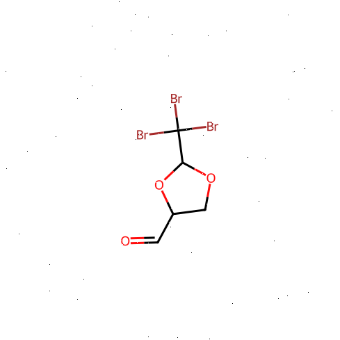 O=CC1COC(C(Br)(Br)Br)O1